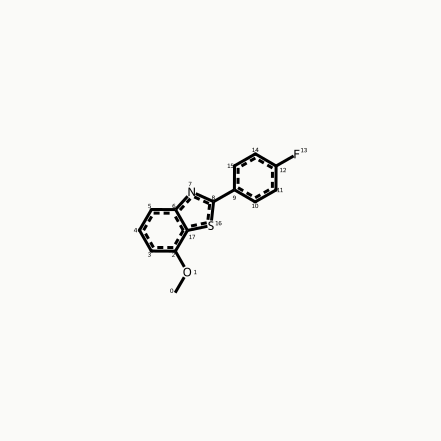 COc1cccc2nc(-c3ccc(F)cc3)sc12